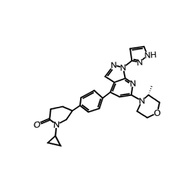 C[C@@H]1COCCN1c1cc(-c2ccc(C3CCC(=O)N(C4CC4)C3)cc2)c2cnn(-c3cc[nH]n3)c2n1